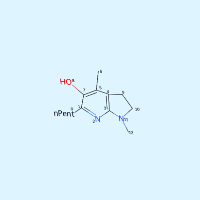 CCCCCc1nc2c(c(C)c1O)CCN2C